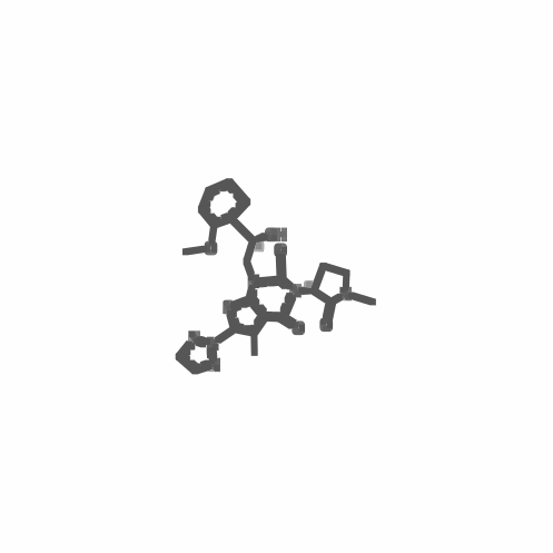 COc1ccccc1[C@@H](O)Cn1c(=O)n([C@H]2CCN(C)C2=O)c(=O)c2c(C)c(-n3nccn3)sc21